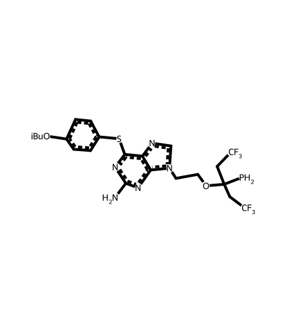 CC(C)COc1ccc(Sc2nc(N)nc3c2ncn3CCOC(P)(CC(F)(F)F)CC(F)(F)F)cc1